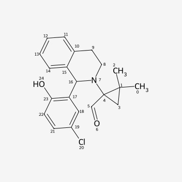 CC1(C)CC1(C=O)N1CCc2ccccc2C1c1cc(Cl)ccc1O